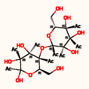 CC(=O)C1(O)O[C@H](CO)[C@](O[C@]2(C(C)=O)O[C@H](CO)[C@@](O)(C(C)=O)[C@@](O)(C(C)=O)[C@]2(O)C(C)=O)(C(C)=O)[C@@](O)(C(C)=O)[C@]1(O)C(C)=O